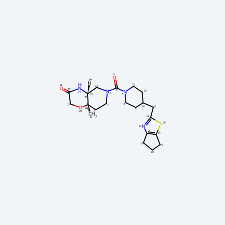 C[C@]12CCN(C(=O)N3CCC(Cc4nc5c(s4)CCC5)CC3)C[C@H]1NC(=O)CO2